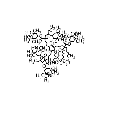 CCCCC(CCCc1cc(CCCC(CCCC)(C(=O)OC2CC(C)(C)N(O)C(C)(C)C2)C(=O)OC2CC(C)(C)N(O)C(C)(C)C2)cc(CCCC(CCCC)(C(=O)OC2CC(C)(C)N(O)C(C)(C)C2)C(=O)OC2CC(C)(C)N(O)C(C)(C)C2)c1)(COC1CC(C)(C)N(O)C(C)(C)C1)C(=O)OC1CC(C)(C)N(O)C(C)(C)C1